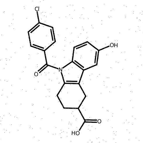 O=C(O)C1CCc2c(c3cc(O)ccc3n2C(=O)c2ccc(Cl)cc2)C1